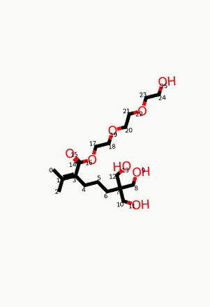 CC(C)=C(CCCC(CO)(CO)CO)C(=O)OCCOCCOCCO